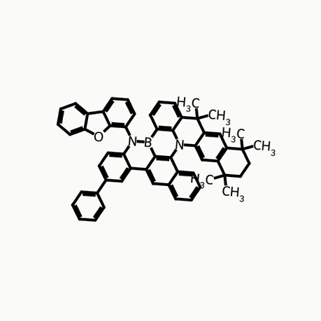 CC1(C)CCC(C)(C)c2cc3c(cc21)N1c2c(cccc2C3(C)C)B2c3c(cc4ccccc4c31)-c1cc(-c3ccccc3)ccc1N2c1cccc2c1oc1ccccc12